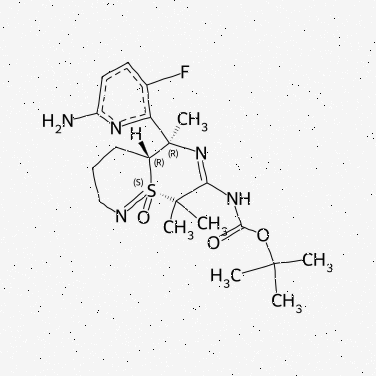 CC(C)(C)OC(=O)NC1=N[C@](C)(c2nc(N)ccc2F)[C@H]2CCCN=[S@@]2(=O)C1(C)C